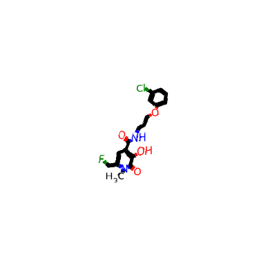 Cn1c(CF)cc(C(=O)NCCCOc2cccc(Cl)c2)c(O)c1=O